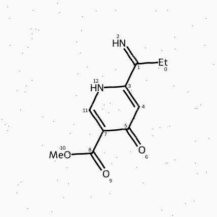 CCC(=N)c1cc(=O)c(C(=O)OC)c[nH]1